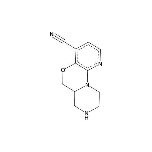 N#Cc1ccnc2c1OCC1CNCCN21